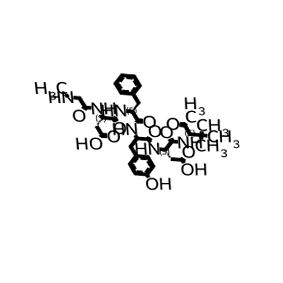 CNCC(=O)N[C@@H](CC(=O)O)C(=O)N[C@@H](Cc1ccccc1)C(=O)NC(Cc1ccc(O)cc1)C(=O)N[C@@H](CC(=O)O)C(=O)N[C@H](C(C)=O)C(C)(C)C